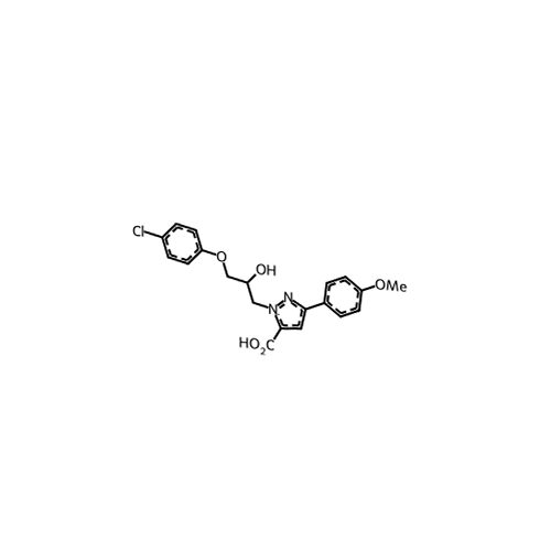 COc1ccc(-c2cc(C(=O)O)n(CC(O)COc3ccc(Cl)cc3)n2)cc1